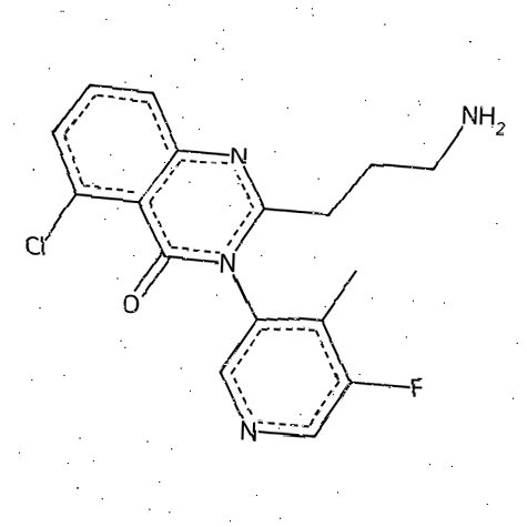 Cc1c(F)cncc1-n1c(CCCN)nc2cccc(Cl)c2c1=O